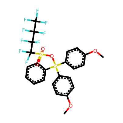 COc1ccc(S(OS(=O)(=O)C(F)(F)C(F)(F)C(F)(F)C(F)(F)F)(c2ccccc2)c2ccc(OC)cc2)cc1